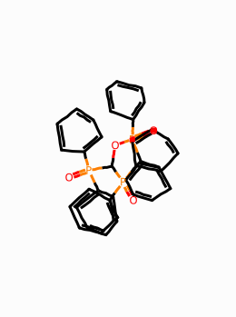 O=P(OC(P(=O)(c1ccccc1)c1ccccc1)P(=O)(c1ccccc1)c1ccccc1)(c1ccccc1)c1ccccc1